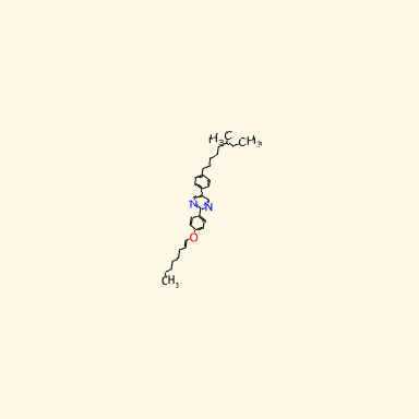 CCCCCC/C=C/Oc1ccc(-c2ncc(-c3ccc(CCCCC[C@@H](C)CC)cc3)cn2)cc1